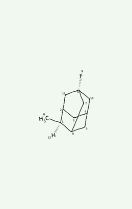 C[C@H]1C2CC3CC1C[C@](F)(C3)C2